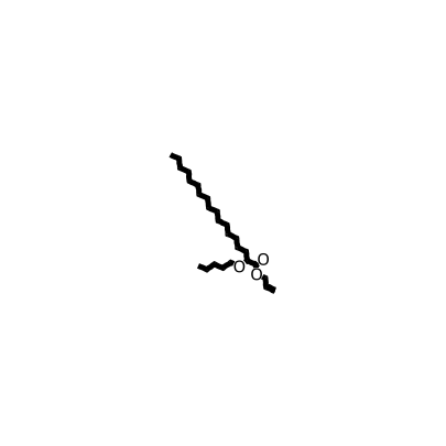 C=CCOC(=O)C(CCCCCCCCCCCCCCCC)OCCCCC